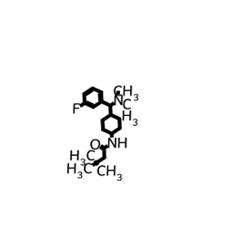 CN(C)C(c1cccc(F)c1)C1CCC(NC(=O)CC(C)(C)C)CC1